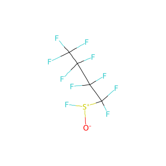 [O-][S+](F)C(F)(F)C(F)(F)C(F)(F)C(F)(F)F